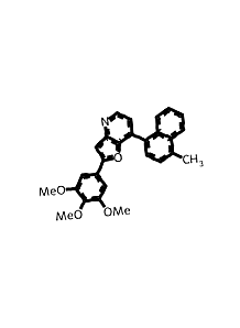 COc1cc(-c2cc3nccc(-c4ccc(C)c5ccccc45)c3o2)cc(OC)c1OC